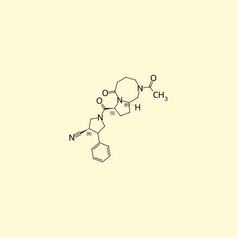 CC(=O)N1CCCC(=O)N2[C@H](CC[C@H]2C(=O)N2CC(c3ccccc3)[C@@H](C#N)C2)C1